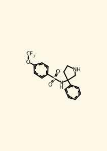 O=S(=O)(NC1(c2ccccc2)CCNC1)c1ccc(OC(F)(F)F)cc1